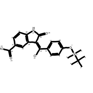 CC(C)(C)[Si](C)(C)Oc1ccc(C(Cl)=C2C(=O)Nc3ccc(C(=O)O)cc32)cc1